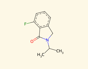 CC(C)N1Cc2cccc(F)c2C1=O